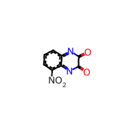 O=C1N=c2cccc([N+](=O)[O-])c2=NC1=O